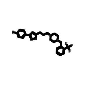 Fc1ccc(-c2cc(CCCN3CCN(Cc4ccccc4C(F)(F)F)CC3)on2)cc1